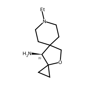 CCN1CCC2(CC1)COC1(CC1)[C@H]2N